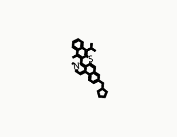 Cc1c2c(c(C(C)C)c3ccccc13)Sc1cc3cc(CC4CCCC4)ccc3c3cc[n+](C)c-2c13